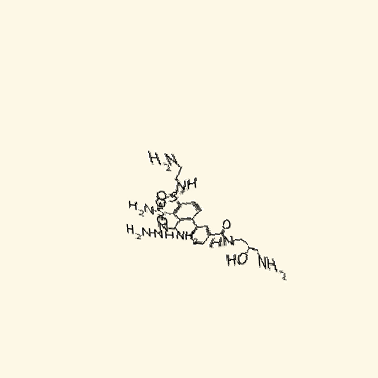 NCCN[S+]([O-])c1ccc(-c2cccc(C(=O)NC[C@H](O)CN)c2)c(/C(N)=N/NN)c1S(N)(=O)=O